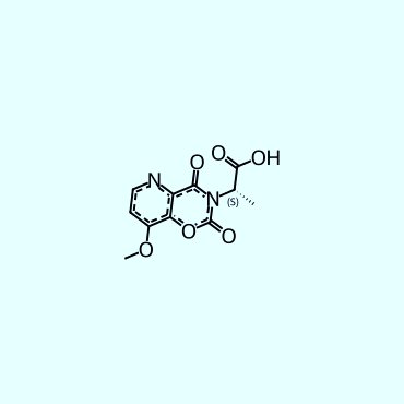 COc1ccnc2c(=O)n([C@@H](C)C(=O)O)c(=O)oc12